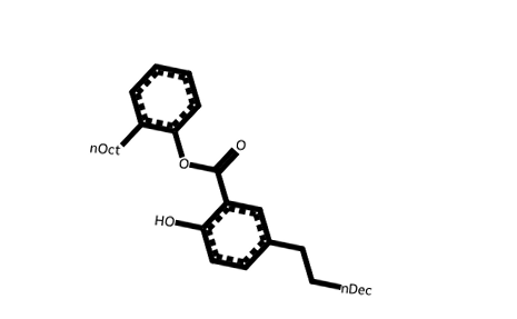 CCCCCCCCCCCCc1ccc(O)c(C(=O)Oc2ccccc2CCCCCCCC)c1